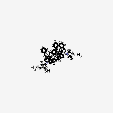 CCN1C(=O)/C(=N/C2=Cc3sc4c(sc5c6c(sc54)C=C(/N=C4\SC(S)N(CC)C4=O)C6(C(=O)OCc4ccccc4)C(=O)OCc4ccccc4)c3C2(C(=O)OCc2ccccc2)C(=O)OCc2ccccc2)SC1=S